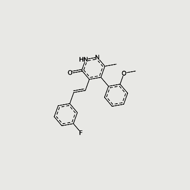 COc1ccccc1-c1c(C)n[nH]c(=O)c1C=Cc1cccc(F)c1